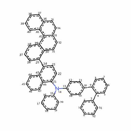 c1ccc(-c2ccccc2-c2ccc(N(c3ccccc3)c3ccc(-c4cccc5c4ccc4ccc6ccccc6c45)c4ccccc34)cc2)cc1